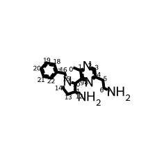 Cc1n[c]c(CCN)nc1C1C(N)CCN1Cc1ccccc1